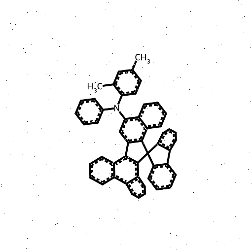 Cc1ccc(N(c2ccccc2)c2cc3c(c4ccccc24)C2(c4ccccc4-c4ccccc42)c2c-3c3ccccc3c3ccccc23)c(C)c1